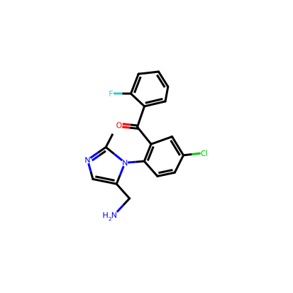 Cc1ncc(CN)n1-c1ccc(Cl)cc1C(=O)c1ccccc1F